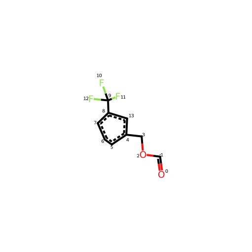 O=[C]OCc1cccc(C(F)(F)F)c1